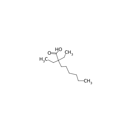 CCCCCCC(CC)(CC)C(=O)O